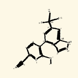 COc1nc(C#N)ccc1-c1cc(C(F)(F)F)cc2[nH]ncc12